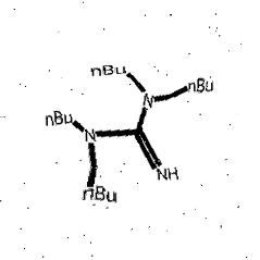 CCCCN(CCCC)C(=N)N(CCCC)CCCC